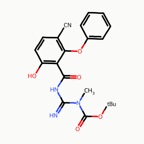 CN(C(=N)NC(=O)c1c(O)ccc(C#N)c1Oc1ccccc1)C(=O)OC(C)(C)C